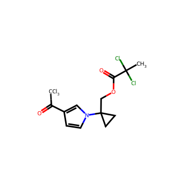 CC(Cl)(Cl)C(=O)OCC1(n2ccc(C(=O)C(Cl)(Cl)Cl)c2)CC1